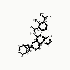 CC(Nc1nc2nccn2c2cnc(N3C4CCC3COC4)cc12)c1cccc(C(F)F)c1F